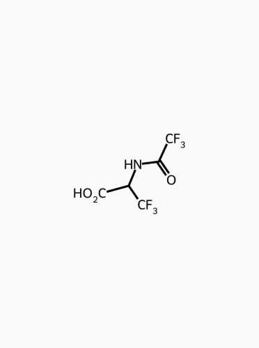 O=C(O)C(NC(=O)C(F)(F)F)C(F)(F)F